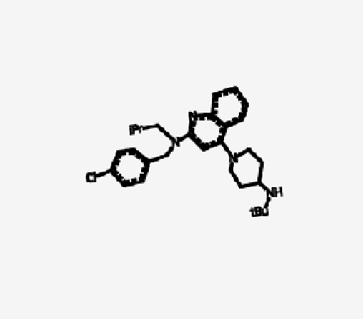 CC(C)CN(Cc1ccc(Cl)cc1)c1cc(N2CCC(NC(C)(C)C)CC2)c2ccccc2n1